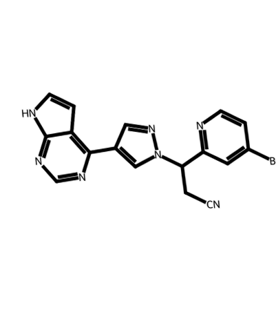 N#CCC(c1cc(Br)ccn1)n1cc(-c2ncnc3[nH]ccc23)cn1